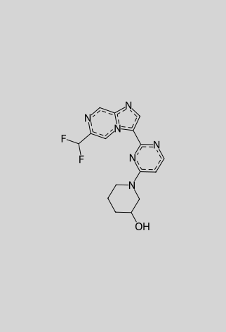 OC1CCCN(c2ccnc(-c3cnc4cnc(C(F)F)cn34)n2)C1